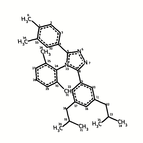 Cc1ccc(-c2nnc(-c3cc(CC(C)C)cc(CC(C)C)c3)n2-c2c(C)cccc2C)cc1C